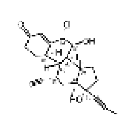 C#C[C@H]1C[C@@]2(C)[C@@H](CC[C@@]2(O)C#CC)[C@@H]2[C@H](O)[C@@H](Cl)C3=CC(=O)CC[C@@H]3[C@H]21